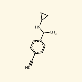 C#Cc1ccc(C(C)NC2CC2)cc1